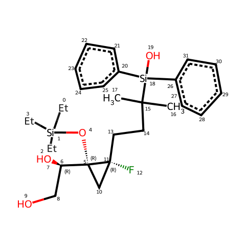 CC[Si](CC)(CC)O[C@@]1([C@H](O)CO)C[C@]1(F)CCC(C)(C)[Si](O)(c1ccccc1)c1ccccc1